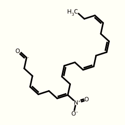 CC/C=C\C/C=C\C/C=C\C/C=C\C/C(=C\C/C=C\CC[C]=O)[N+](=O)[O-]